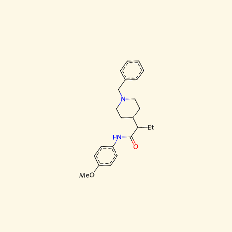 CCC(C(=O)Nc1ccc(OC)cc1)C1CCN(Cc2ccccc2)CC1